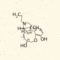 C=CCN1CC[C@@]2(C)c3c4ccc(O)c3OC[C@@H](O)/C=C\[C@H]2[C@H]1C4